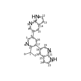 CC(C)c1ncc(-c2cnc3[nH]ccc3c2)cc1-c1cnc2[nH]ccc2c1